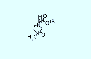 CN1CCN(NC(=O)OC(C)(C)C)CC1=O